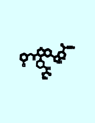 CNC(=O)c1cnc2[nH]cc(-c3ccc4ncc(NCc5cccc(Cl)c5)c(N5CCCC(NC(=O)OC(C)(C)C)C5)c4c3)c2c1